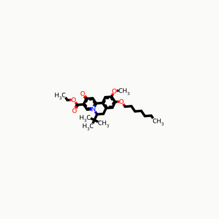 CCCCCCCOc1cc2c(cc1OC)-c1cc(=O)c(C(=O)OCC)cn1C(C(C)(C)C)C2